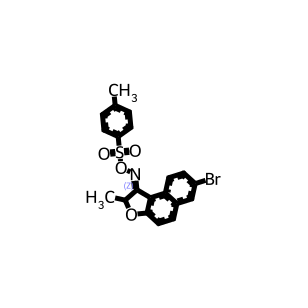 Cc1ccc(S(=O)(=O)O/N=C2/c3c(ccc4cc(Br)ccc34)OC2C)cc1